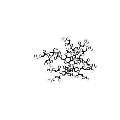 C=CC(=O)OCC(C)(COC(=O)C=C)NC(=O)NC1C(OC(=O)NC(C)(COC(=O)C=C)COC(=O)C=C)OC(COC(=O)NC(C)(COC(=O)C=C)COC(=O)C=C)C(OC(=O)NC(C)(COC(=O)C=C)COC(=O)C=C)C1OC(=O)NC(C)(COC(=O)C=C)COC(=O)C=C